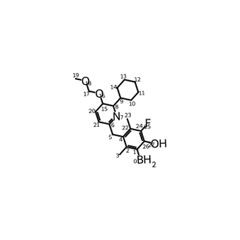 Bc1c(C)c(CC2=NC(C3CCCCC3)C(OCOC)C=C2)c(C)c(F)c1O